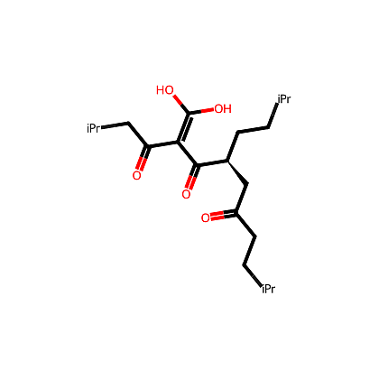 CC(C)CCC(=O)C[C@H](CCC(C)C)C(=O)C(C(=O)CC(C)C)=C(O)O